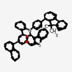 CC1(C)c2ccccc2-c2cccc(-c3ccc(N(c4ccccc4-c4cccc(-c5cccc6ccccc56)c4)c4cccc5sc6ccccc6c45)cc3)c21